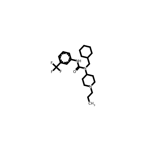 CCCN1CCC(N(CC2CCCCC2)C(=O)Nc2cccc(C(F)(F)F)c2)CC1